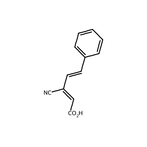 N#CC(C=Cc1ccccc1)=CC(=O)O